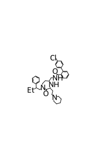 CCC(CN1CCC(CNC(=O)c2ccccc2-c2ccc(Cl)cc2)NC(CCN2CCCCC2)C1=O)c1ccccc1